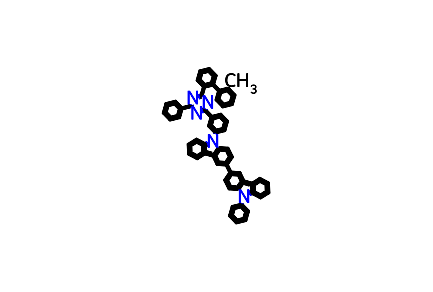 Cc1ccccc1-c1ccccc1-c1nc(-c2ccccc2)nc(-c2cccc(-n3c4ccccc4c4cc(-c5ccc6c(c5)c5ccccc5n6-c5ccccc5)ccc43)c2)n1